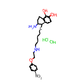 Cl.Cl.NC1CCc2c(ccc(O)c2O)C1CCCCCCNCCOc1ccc([N+](=O)[O-])cc1